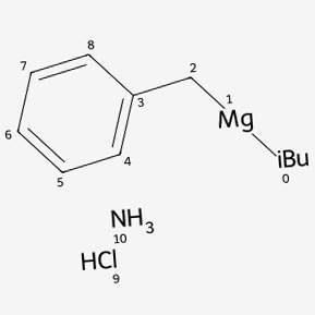 CC[CH](C)[Mg][CH2]c1ccccc1.Cl.N